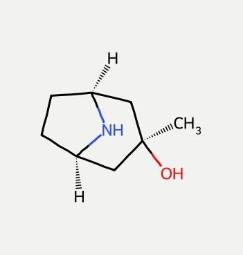 C[C@]1(O)C[C@H]2CC[C@@H](C1)N2